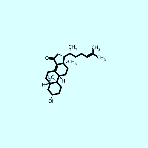 CC(C)=CCC[C@@H](C)[C@H]1CC(=O)C2=C3CC[C@H]4C[C@@H](O)CC[C@]4(C)[C@H]3CC[C@@]21C